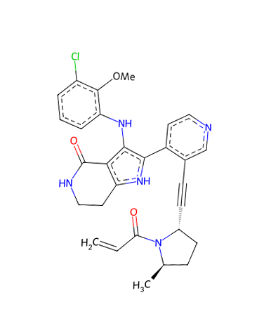 C=CC(=O)N1[C@H](C)CC[C@H]1C#Cc1cnccc1-c1[nH]c2c(c1Nc1cccc(Cl)c1OC)C(=O)NCC2